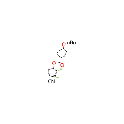 CCCCO[C@H]1CC[C@H](C(=O)Oc2ccc(C#N)c(F)c2F)CC1